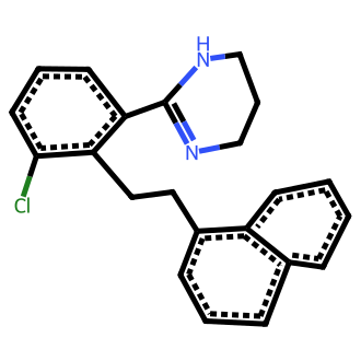 Clc1cccc(C2=NCCCN2)c1CCc1cccc2ccccc12